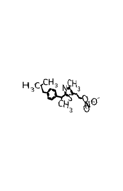 Cc1nc(C(C)c2ccc(CC(C)C)cc2)sc1CCO[N+](=O)[O-]